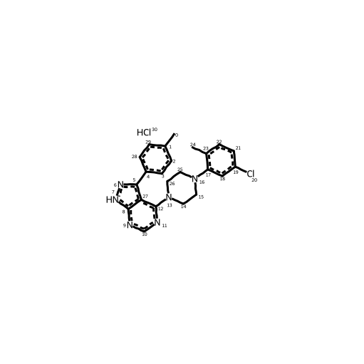 Cc1ccc(-c2n[nH]c3ncnc(N4CCN(c5cc(Cl)ccc5C)CC4)c23)cc1.Cl